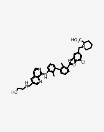 Cc1c(Nc2nccc3cc(CNCCO)cnc23)cccc1-c1cccc(-c2nc3cc(CN4CCCCC4C(=O)O)cc(Cl)c3o2)c1C